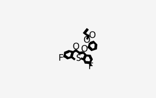 C=CC(=O)Oc1ccccc1Oc1c(C(=O)c2ccc(F)cc2C)sc2cc(F)ccc12